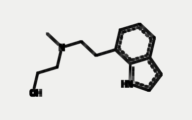 CN(CCO)CCc1cccc2cc[nH]c12